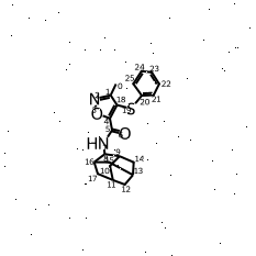 Cc1noc(C(=O)NC2C3CC4CC(C3)CC2C4)c1Sc1ccccc1